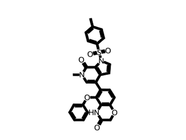 Cc1ccc(S(=O)(=O)n2ccc3c(-c4ccc5c(c4Oc4ccccc4)NC(=O)CO5)cn(C)c(=O)c32)cc1